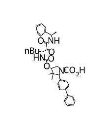 CCCC[C@H](NC(=O)O[C@@H]1CN(C(=O)O)C(c2ccc(-c3ccccc3)cc2)C1(C)C)C(=O)C(=O)N[C@H](C)c1ccccc1